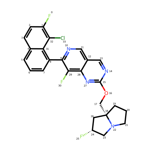 Fc1ccc2cccc(-c3ncc4cnc(OC[C@]56CCCN5C[C@H](F)C6)nc4c3F)c2c1Cl